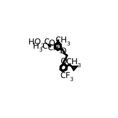 Cc1cc(OCC[C@@H](C)Oc2ccc(C(F)(F)F)cc2CC2CC2)ccc1OC(C)(C)C(=O)O